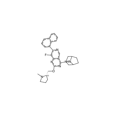 CN1CCC[C@H]1COc1nc(N2CC3CCC(C2)N3)c2cnc(-c3cccc4ccccc34)c(F)c2n1